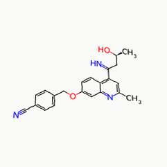 Cc1cc(C(=N)C[C@H](C)O)c2ccc(OCc3ccc(C#N)cc3)cc2n1